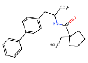 O=C(O)CC1(C(=O)NC(Cc2ccc(-c3ccccc3)cc2)C(=O)O)CCCC1